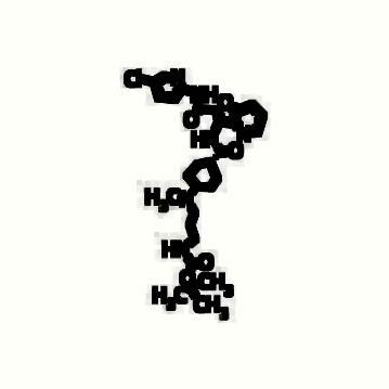 CN(CCCNC(=O)OC(C)(C)C)[C@H]1CC[C@H](C(=O)Nc2c(C(=O)Nc3ccc(Cl)cn3)oc3cccnc23)CC1